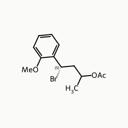 COc1ccccc1[C@@H](Br)CC(C)OC(C)=O